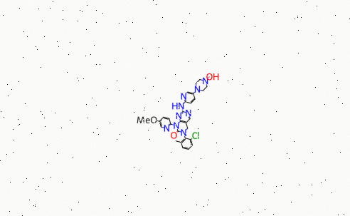 COc1ccc(N2C(=O)N(c3c(C)cccc3Cl)Cc3cnc(Nc4ccc(N5CCN(O)CC5)cn4)nc32)nc1